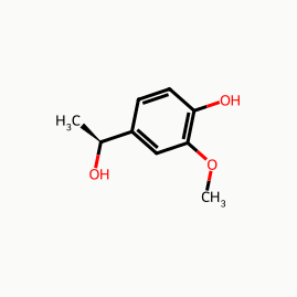 COc1cc([C@H](C)O)ccc1O